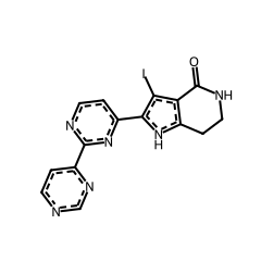 O=C1NCCc2[nH]c(-c3ccnc(-c4ccncn4)n3)c(I)c21